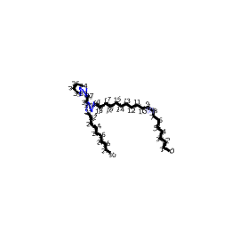 CCCCCCCC/C=C\CCCCCCCCCCN(CCCCCCCCCC)CCN1CCCC1